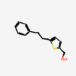 OCc1ccc(CCc2ccccc2)s1